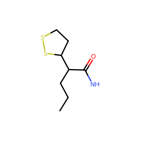 CCCC(C([NH])=O)C1CCSS1